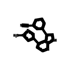 Cn1cc(-c2ccnc3[nH]cc(-c4cccc(C#N)c4)c23)cn1